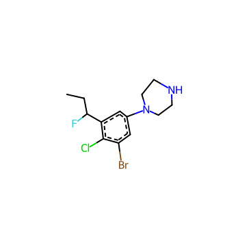 CCC(F)c1cc(N2CCNCC2)cc(Br)c1Cl